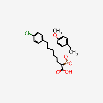 CCc1ccc(OC)cc1.O=C(O)C(CCCCCCc1ccc(Cl)cc1)=S(=O)=O